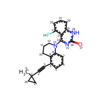 CC1(C#Cc2cccc3c2CCCN3c2nc(=O)[nH]c3cccc(F)c23)CC1